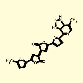 CC1=CN=C(c2ccc(C3=C/C(=C4/C=C(c5ccc(C)s5)OC4=O)C(=O)O3)s2)C2NSNC12